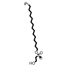 CC(C)CCCCCCCCCCCCCCCOS(=O)(=O)CCO